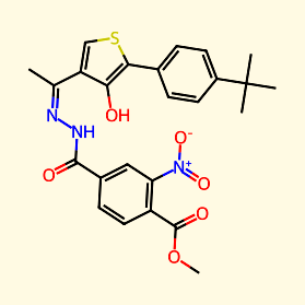 COC(=O)c1ccc(C(=O)NN=C(C)c2csc(-c3ccc(C(C)(C)C)cc3)c2O)cc1[N+](=O)[O-]